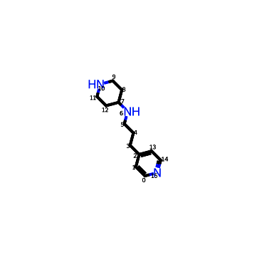 c1cc(CCCNC2CCNCC2)ccn1